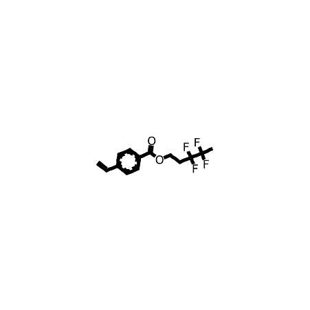 C=Cc1ccc(C(=O)OCCC(F)(F)C(C)(F)F)cc1